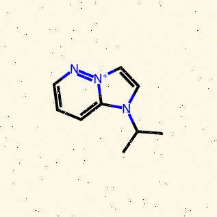 CC(C)n1cc[n+]2ncccc12